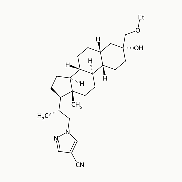 CCOC[C@@]1(O)CC[C@H]2[C@H](CC[C@@H]3[C@@H]2CC[C@]2(C)[C@@H]([C@@H](C)Cn4cc(C#N)cn4)CC[C@@H]32)C1